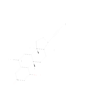 CC#C[C@]1(O)CC[C@H]2[C@@H]3C=C(C)C4=CC(=O)C=C(O)[C@]4(C)[C@H]3CC[C@@]21C